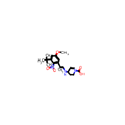 COc1cc(C(C)CNC2CCN(C(=O)O)CC2)c([N+](=O)[O-])c(C(C)(C)C)c1